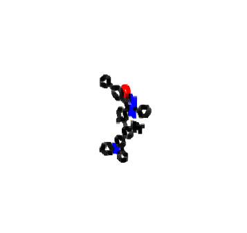 Cc1ccc(-c2nc(-c3ccccc3)nc3oc4cc(-c5ccccc5)ccc4c23)cc1-c1cc(-c2ccc3c(c2)c2ccccc2n3-c2ccccc2)ccc1C(C)C